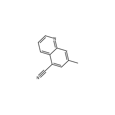 Cc1[c]c2ncccc2c(C#N)c1